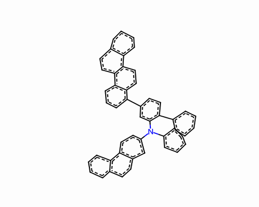 c1ccc(-c2ccc(-c3cccc4c3ccc3c5ccccc5ccc43)cc2N(c2ccccc2)c2ccc3c(ccc4ccccc43)c2)cc1